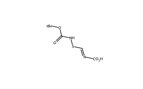 CC(C)(C)OC(=O)NSC=NC(=O)O